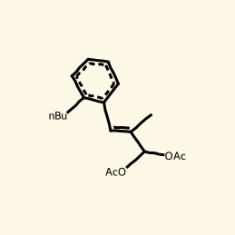 CCCCc1ccccc1/C=C(\C)C(OC(C)=O)OC(C)=O